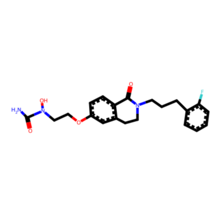 NC(=O)N(O)CCOc1ccc2c(c1)CCN(CCCc1ccccc1F)C2=O